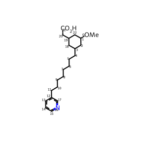 COC1CC(CCCCCCCCc2cccnc2)CC(CC(=O)O)C1